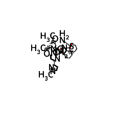 CO[C@@H]1C[C@@H]([C@H](C)Oc2cc(-c3ccn(C)n3)nc(-c3onc4c3CCC[C@@]43CCCc4sc(N)c(C#N)c43)n2)N(C)C1